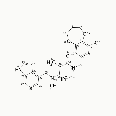 CC(C)CN(Cc1cc(Cl)c2c(c1)OCCCO2)C(=O)C(C)CN(C)Cc1cccc2[nH]ccc12